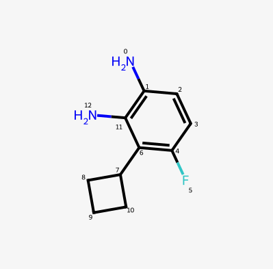 Nc1ccc(F)c(C2CCC2)c1N